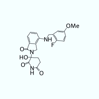 COc1ccc(F)c(CNc2cccc3c2CN(C2(O)CCC(=O)NC2=O)C3=O)c1